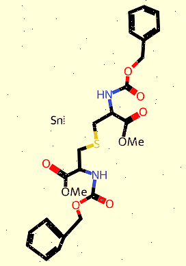 COC(=O)C(CSCC(NC(=O)OCc1ccccc1)C(=O)OC)NC(=O)OCc1ccccc1.[Sn]